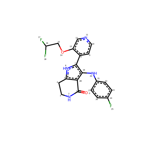 O=C1NCCc2[nH]c(-c3ccncc3OCC(F)F)c(Nc3ccc(F)cc3)c21